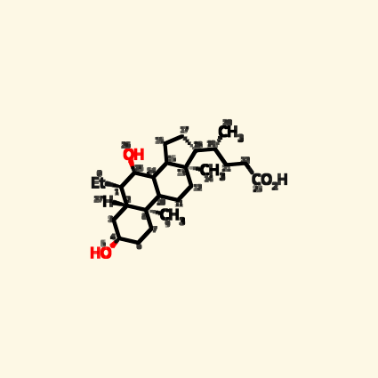 CC[C@@H]1[C@H]2C[C@H](O)CC[C@]2(C)C2CC[C@@]3(C)C(CC[C@@H]3[C@H](C)CCC(=O)O)C2[C@@H]1O